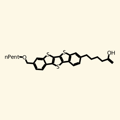 C=C(O)CCCCc1ccc2c(c1)sc1c2sc2c3ccc(COCCCCC)cc3sc21